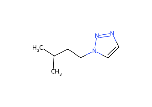 CC(C)CCn1ccnn1